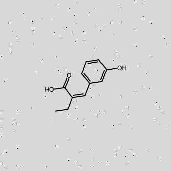 CCC(=Cc1cccc(O)c1)C(=O)O